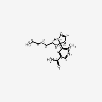 Cc1ncc(C(N)=O)cc1C1(OCCOCCO)NN=CS1